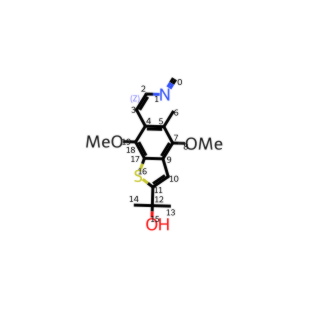 C=N/C=C\c1c(C)c(OC)c2cc(C(C)(C)O)sc2c1OC